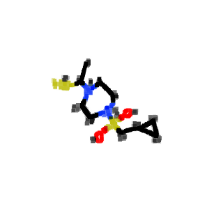 CC(S)N1CCN(S(=O)(=O)CC2CC2)CC1